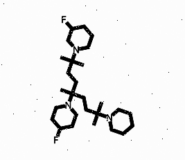 CC(C)(CCC(C)(CCC(C)(C)N1CCCC(F)C1)N1CCC(F)CC1)N1CCCCC1